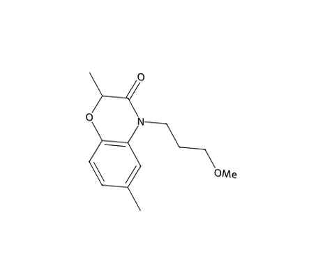 COCCCN1C(=O)C(C)Oc2ccc(C)cc21